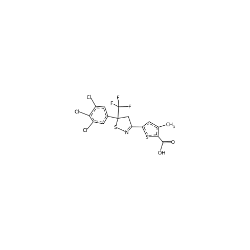 Cc1cc(C2=NSC(c3cc(Cl)c(Cl)c(Cl)c3)(C(F)(F)F)C2)sc1C(=O)O